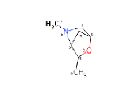 CC1OC2CC1N(C)C2